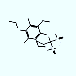 CCOc1c(C)c(CC)c(SC(CC)(P(=O)(O)O)P(=O)(O)O)c(CC)c1C